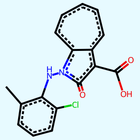 Cc1cccc(Cl)c1Nn1c2cccccc-2c(C(=O)O)c1=O